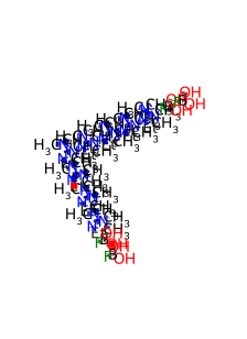 CCN=C(N(C)C)N(C)C.CCN=C(N(C)C)N(C)C.CCN=C(N(C)C)N(C)C.CCN=C(N(C)C)N(C)C.CCN=C(N(C)C)N(C)C.CCN=C(N(C)C)N(C)C.CCN=C(N(C)C)N(C)C.CCN=C(N(C)C)N(C)C.OB(O)F.OB(O)F.OB(O)F.OB(O)F